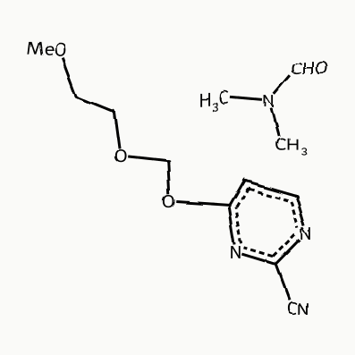 CN(C)C=O.COCCOCOc1ccnc(C#N)n1